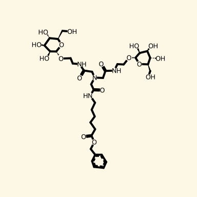 O=C(CN(CC(=O)NCCO[C@H]1O[C@H](CO)[C@@H](O)[C@H](O)[C@@H]1O)CC(=O)NCCO[C@H]1O[C@H](CO)[C@@H](O)[C@H](O)[C@@H]1O)NCCCCCC(=O)OCc1ccccc1